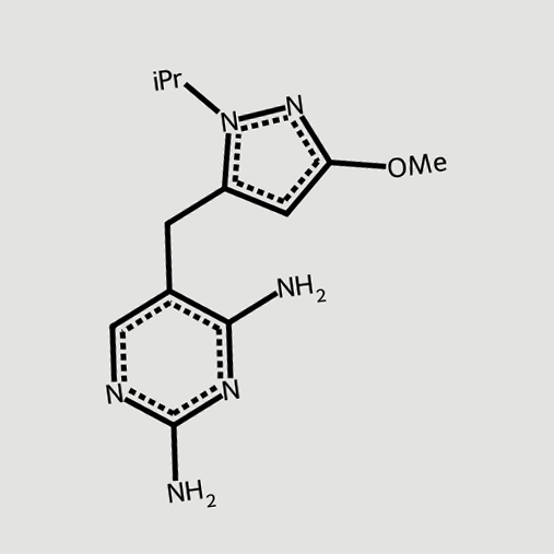 COc1cc(Cc2cnc(N)nc2N)n(C(C)C)n1